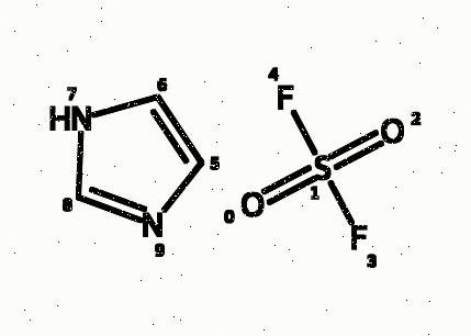 O=S(=O)(F)F.c1c[nH]cn1